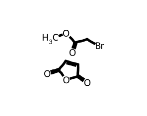 COC(=O)CBr.O=C1C=CC(=O)O1